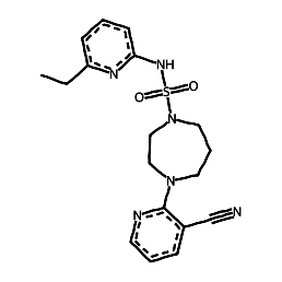 CCc1cccc(NS(=O)(=O)N2CCCN(c3ncccc3C#N)CC2)n1